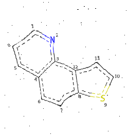 c1cnc2c(c1)ccc1sccc12